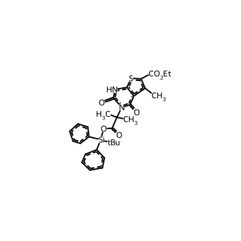 CCOC(=O)c1sc2[nH]c(=O)n(C(C)(C)C(=O)O[Si](c3ccccc3)(c3ccccc3)C(C)(C)C)c(=O)c2c1C